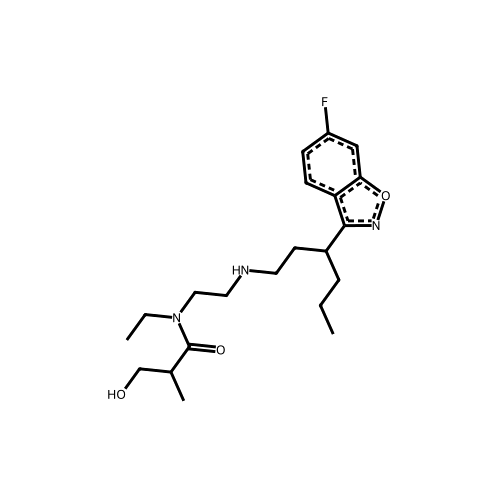 CCCC(CCNCCN(CC)C(=O)C(C)CO)c1noc2cc(F)ccc12